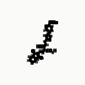 COc1ccc(-c2csc(CC[C@@H](O)[C@@H](CCN3C(=O)c4ccccc4C3=O)C(=O)O)c2)cn1